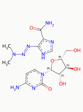 CN(C)N=Nc1[nH]cnc1C(N)=O.Nc1ccn([C@@H]2O[C@H](CO)[C@@H](O)[C@@H]2O)c(=O)n1